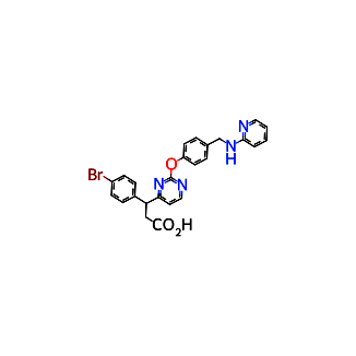 O=C(O)CC(c1ccc(Br)cc1)c1ccnc(Oc2ccc(CNc3ccccn3)cc2)n1